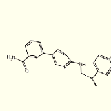 C[C@@H](CNc1ccc(-c2cccc(C(N)=O)c2)cn1)c1ccc(F)cc1